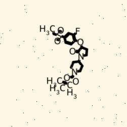 CCS(=O)(=O)c1ccc(OC2CCN(C3CCN(C(=O)OC(C)(C)C)CC3)C2=O)c(F)c1